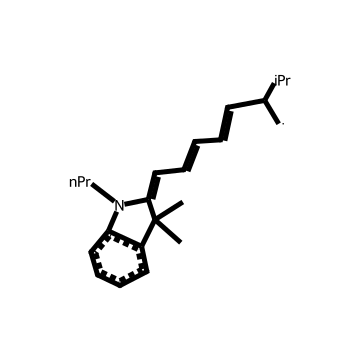 [CH2]C(C=CC=CC=C1N(CCC)c2ccccc2C1(C)C)C(C)C